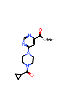 COC(=O)c1cc(N2CCN(C(=O)C3CC3)CC2)ncn1